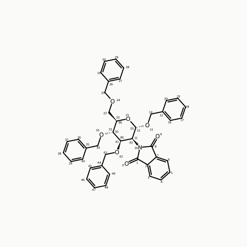 O=C1c2ccccc2C(=O)N1[C@@H]1[C@@H](OCc2ccccc2)O[C@H](COCc2ccccc2)[C@@H](OCc2ccccc2)[C@@H]1OCc1ccccc1